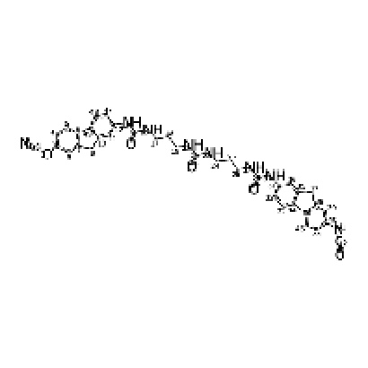 N#COc1ccc2c(c1)Cc1cc(NC(=O)NCCCNC(=O)NCCCNC(=O)Nc3ccc4c(c3)Cc3cc(N=C=O)ccc3-4)ccc1-2